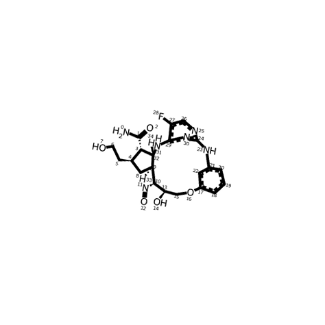 NC(=O)[C@H]1[C@H](CCO)C[C@@H]2[C@@H](N=O)[C@H](O)COc3cccc(c3)Nc3ncc(F)c(n3)N[C@H]21